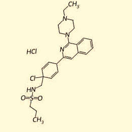 CCCS(=O)(=O)NCC1(Cl)C=CC(c2cc3ccccc3c(N3CCN(CC)CC3)n2)C=C1.Cl